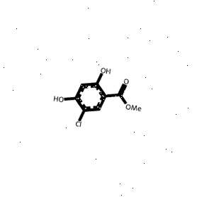 COC(=O)c1cc(Cl)c(O)cc1O